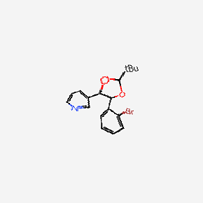 CC(C)(C)C1OC(c2cccnc2)C(c2ccccc2Br)O1